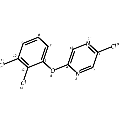 Clc1cnc(Oc2cccc(Cl)c2Cl)cn1